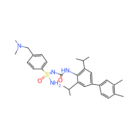 Cc1ccc(-c2cc(C(C)C)c(NC(=O)N=S(N)(=O)c3ccc(CN(C)C)cc3)c(C(C)C)c2)cc1C